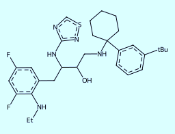 CCNc1c(F)cc(F)cc1CC(Nc1ncsn1)C(O)CNC1(c2cccc(C(C)(C)C)c2)CCCCC1